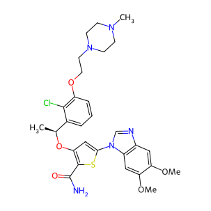 COc1cc2ncn(-c3cc(O[C@@H](C)c4cccc(OCCN5CCN(C)CC5)c4Cl)c(C(N)=O)s3)c2cc1OC